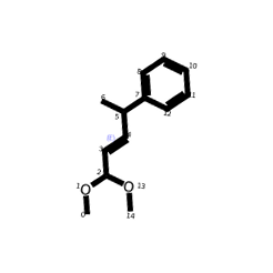 COC(/C=C/C(C)c1ccccc1)OC